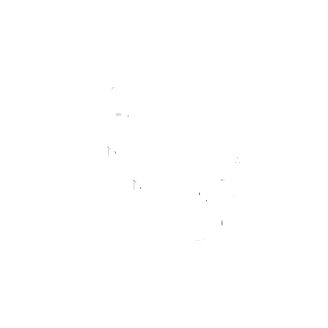 CC(=O)c1cn(CCCN2CCCN(Cc3ccccc3Cl)CC2)c2c(Br)cccc12